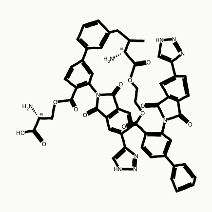 CC(Cc1cccc(-c2ccc(C(=O)OC[C@@H](N)C(=O)O)c(N3C(=O)c4ccc(-c5c[nH]nn5)cc4C3=O)c2)c1)[C@@H](N)C(=O)OCCOC(=O)c1ccc(-c2ccccc2)cc1N1C(=O)c2ccc(-c3c[nH]nn3)cc2C1=O